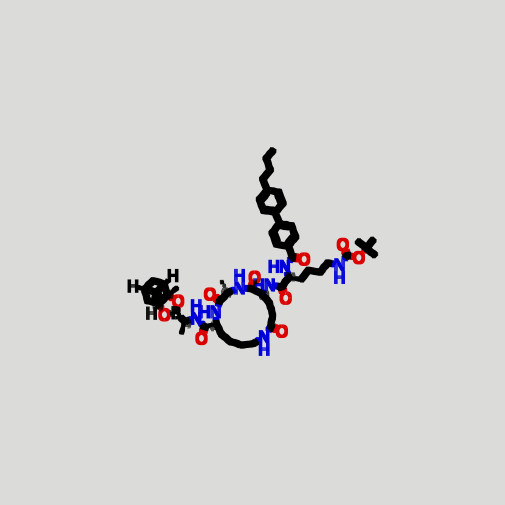 CCCCc1ccc(-c2ccc(C(=O)N[C@@H](CCCCNC(=O)OC(C)(C)C)C(=O)N[C@H]3CCC(=O)NCCCC[C@@H](C(=O)N[C@@H](C)B4O[C@@H]5C[C@@H]6C[C@@H](C6(C)C)[C@]5(C)O4)NC(=O)[C@H](C)NC3=O)cc2)cc1